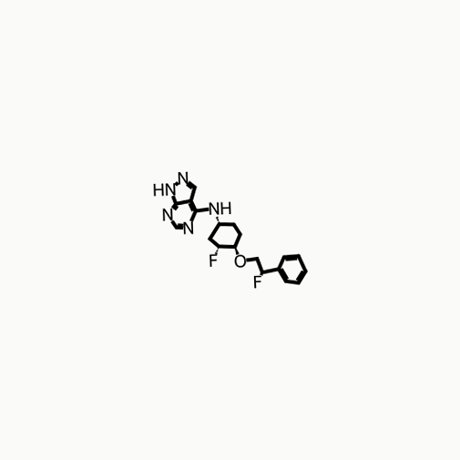 F[C@@H]1C[C@H](Nc2ncnc3[nH]ncc23)CC[C@H]1OC[C@H](F)c1ccccc1